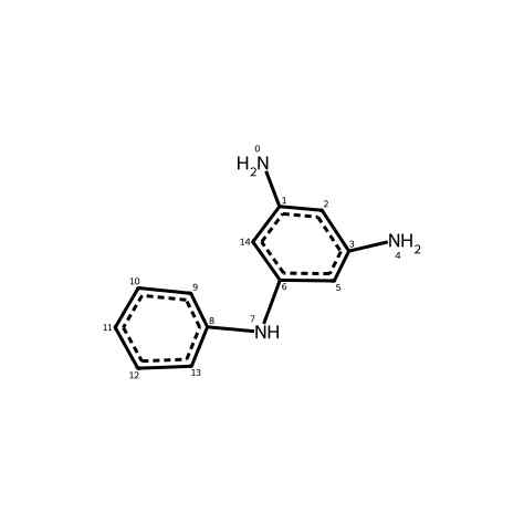 Nc1cc(N)cc(Nc2ccccc2)c1